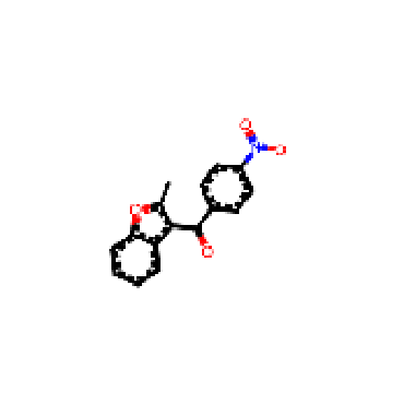 Cc1oc2ccccc2c1C(=O)c1ccc([N+](=O)[O-])cc1